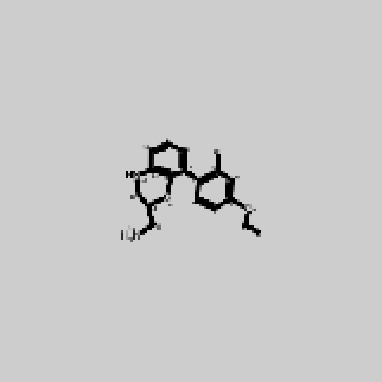 CCOc1ccc(-c2cccc3c2OC(CN)CN3)c(C)c1